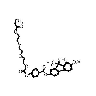 C=CC(=O)OCCOCCOCCOC(=O)Oc1ccc(C(=O)Oc2ccc3c(c2)C(C)(C)c2cc(OC(C)=O)ccc2-3)cc1